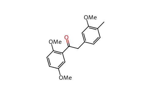 COc1ccc(OC)c(C(=O)Cc2ccc(C)c(OC)c2)c1